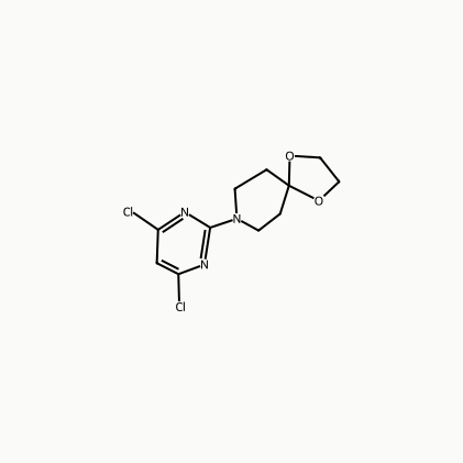 Clc1cc(Cl)nc(N2CCC3(CC2)OCCO3)n1